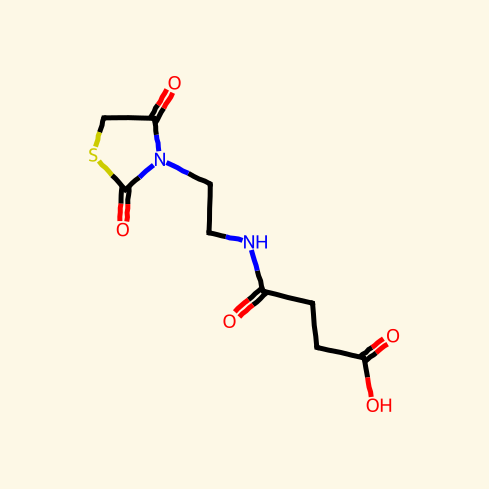 O=C(O)CCC(=O)NCCN1C(=O)CSC1=O